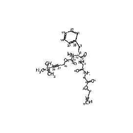 C#CCOC(=O)CNC(=O)CNC(=O)[C@H](Cc1ccccc1)NC(=O)OCC#C[Si](C)(C)C